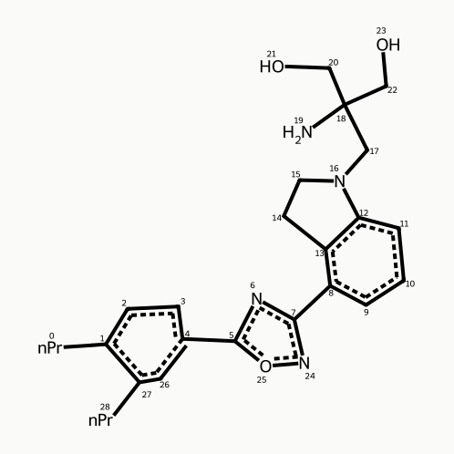 CCCc1ccc(-c2nc(-c3cccc4c3CCN4CC(N)(CO)CO)no2)cc1CCC